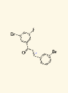 O=C(/C=C/c1cccc(Br)c1)c1cc(F)cc(Br)c1